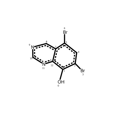 Oc1c(Br)cc(Br)c2cncnc12